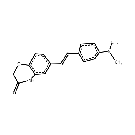 CN(C)c1ccc(/C=C/c2ccc3c(c2)NC(=O)CO3)cc1